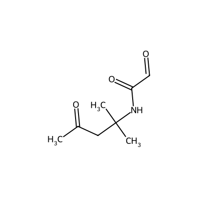 CC(=O)CC(C)(C)NC(=O)C=O